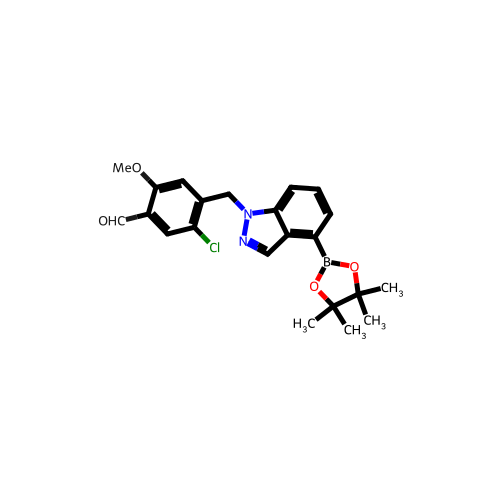 COc1cc(Cn2ncc3c(B4OC(C)(C)C(C)(C)O4)cccc32)c(Cl)cc1C=O